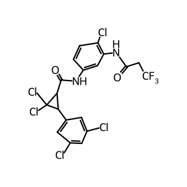 O=C(CC(F)(F)F)Nc1cc(NC(=O)C2C(c3cc(Cl)cc(Cl)c3)C2(Cl)Cl)ccc1Cl